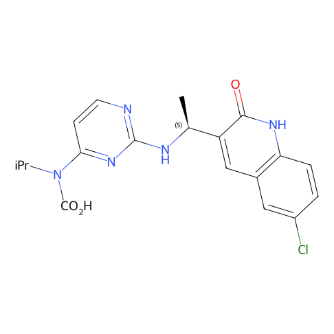 CC(C)N(C(=O)O)c1ccnc(N[C@@H](C)c2cc3cc(Cl)ccc3[nH]c2=O)n1